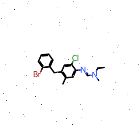 CCN(C)C=Nc1cc(C)c(Cc2ccccc2Br)cc1Cl